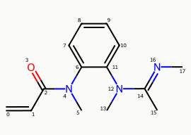 C=CC(=O)N(C)c1ccccc1N(C)C(C)=NC